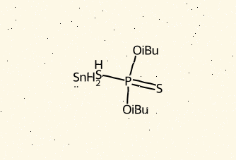 CC(C)COP(=S)(S)OCC(C)C.[SnH2]